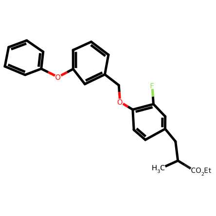 CCOC(=O)C(C)Cc1ccc(OCc2cccc(Oc3ccccc3)c2)c(F)c1